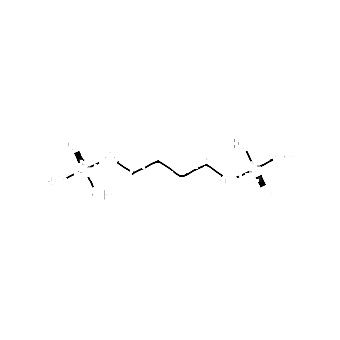 O=P(O)(O)OCCCCOP(=O)(O)O